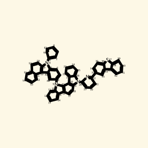 c1ccc(-n2c3ccc(-n4c5ccccc5c5ccc6c(c7ccccc7n6-c6cccc(-c7ccc8sc9ccccc9c8c7)n6)c54)cc3c3c4ccccc4ccc32)cc1